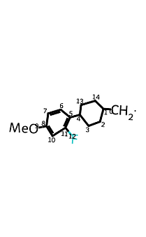 [CH2]C1CCC(c2ccc(OC)cc2F)CC1